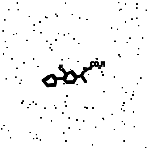 CC(SCC(=O)O)c1ccc(-c2ccccc2)c(F)c1